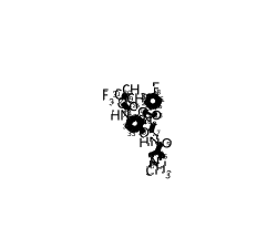 CN1CC(C(=O)NC[C@H]2CN(S(=O)(=O)c3ccc(F)cc3)c3cc(NC(=O)OC(C)(C)C(F)(F)F)ccc3O2)C1